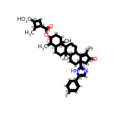 CC(C)C1=C2C3CCC4C(C)(CCC5C(C)C(OC(=O)C6CC(C(=O)O)C6C)CCC54C)C3CCC2(c2ncc(-c3ccc(F)cc3)[nH]2)CC1=O